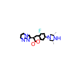 C[C@@H]1CN(c2cc(F)c3cc(-c4cn5cccnc5n4)c(=O)oc3c2)C[C@H](C)N1